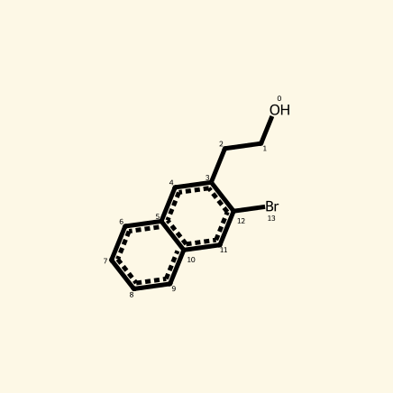 OCCc1cc2ccccc2cc1Br